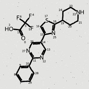 O=C(O)C(F)(F)F.c1ccc(-c2ncc(-c3csc(C4CCNCC4)n3)cn2)cc1